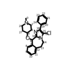 CN1CCC(OC2c3ccccc3CCn3c2nc(-c2ccccc2)c3Cl)CC1